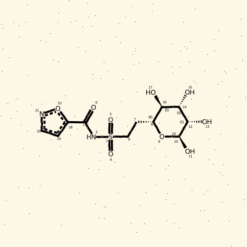 O=C(NS(=O)(=O)CC[C@H]1O[C@H](O)[C@@H](O)[C@@H](O)[C@@H]1O)c1ccno1